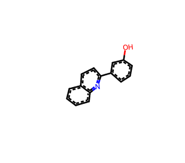 Oc1cccc(-c2ccc3ccccc3n2)c1